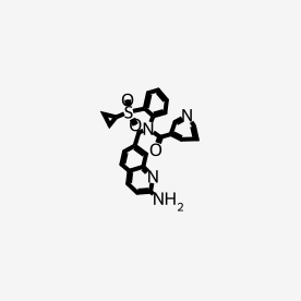 Nc1ccc2ccc(CN(C(=O)c3cccnc3)c3ccccc3S(=O)(=O)C3CC3)cc2n1